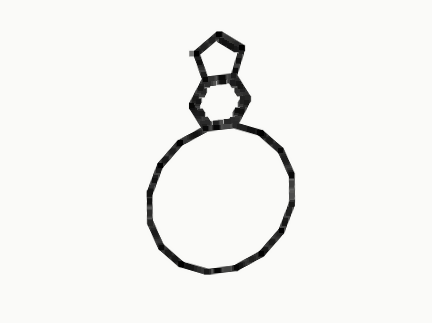 [CH]1C=Cc2cc3c(cc21)CCCCCCCCCCCCCC3